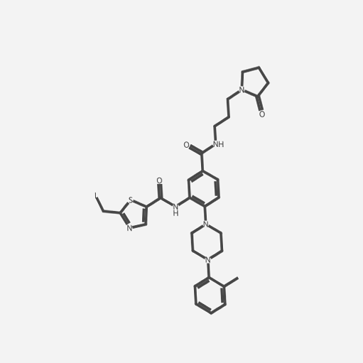 Cc1ccccc1N1CCN(c2ccc(C(=O)NCCCN3CCCC3=O)cc2NC(=O)c2cnc(CI)s2)CC1